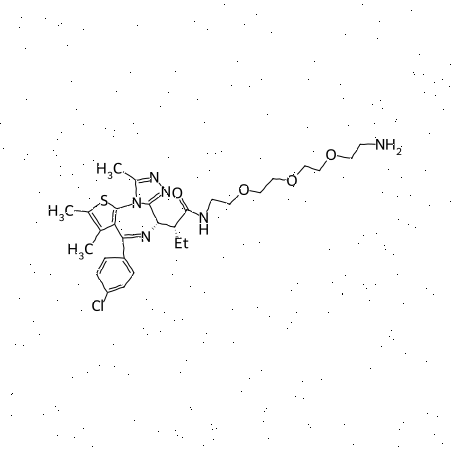 CC[C@@H](C(=O)NCCOCCOCCOCCN)[C@@H]1N=C(c2ccc(Cl)cc2)c2c(sc(C)c2C)-n2c(C)nnc21